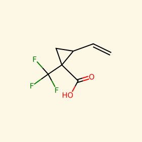 C=CC1CC1(C(=O)O)C(F)(F)F